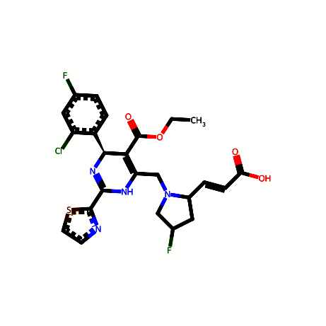 CCOC(=O)C1=C(CN2CC(F)CC2/C=C/C(=O)O)NC(c2nccs2)=N[C@H]1c1ccc(F)cc1Cl